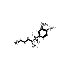 COc1ccc(S(=O)(=O)N(C)CCCC#N)cc1OC